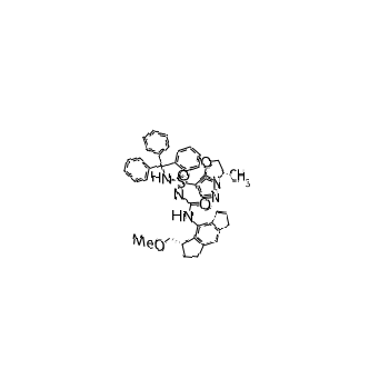 COC[C@H]1CCc2cc3c(c(NC(=O)N=[S@@](=O)(NC(c4ccccc4)(c4ccccc4)c4ccccc4)c4cnn5c4OC[C@@H]5C)c21)CCC3